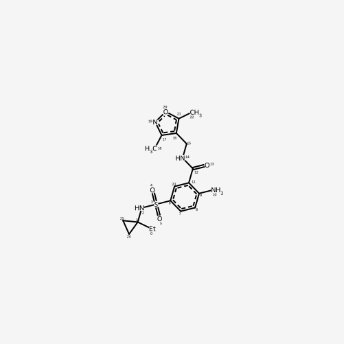 CCC1(NS(=O)(=O)c2ccc(N)c(C(=O)NCc3c(C)noc3C)c2)CC1